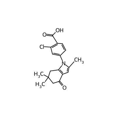 Cc1cc2c(n1-c1ccc(C(=O)O)c(Cl)c1)CC(C)(C)CC2=O